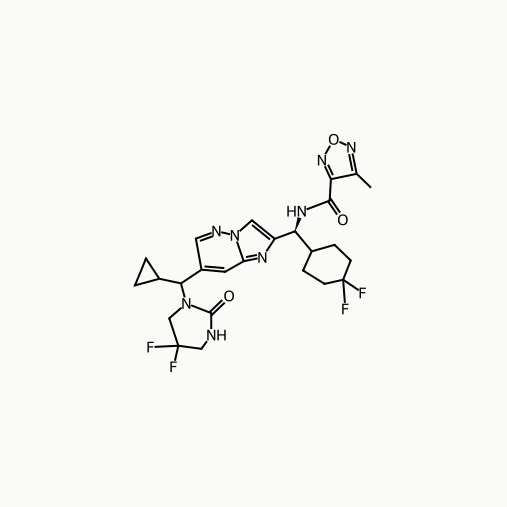 Cc1nonc1C(=O)N[C@H](c1cn2ncc(C(C3CC3)N3CC(F)(F)CNC3=O)cc2n1)C1CCC(F)(F)CC1